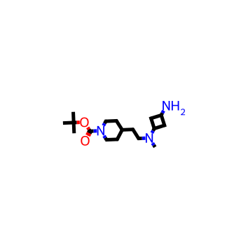 CN(CCC1CCN(C(=O)OC(C)(C)C)CC1)C1CC(N)C1